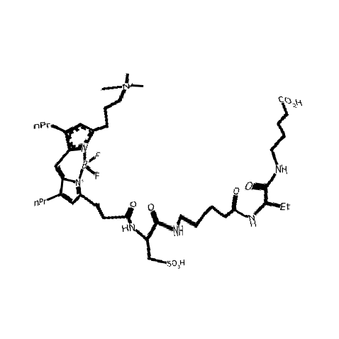 CCCC1=CC(CCC(=O)NC(CS(=O)(=O)O)C(=O)NCCCCC(=O)NC(CC)C(=O)NCCCCC(=O)O)=[N+]2C1=Cc1c(CCC)cc(CCC[N+](C)(C)C)n1[B-]2(F)F